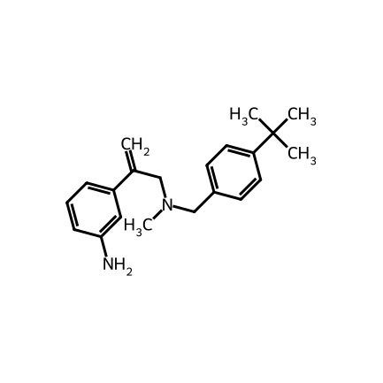 C=C(CN(C)Cc1ccc(C(C)(C)C)cc1)c1cccc(N)c1